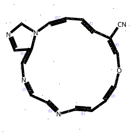 N#CC1=C\O\C=C/C=C/N=C/C=N\C=C2/C=NCN2\C=C/C=C/1